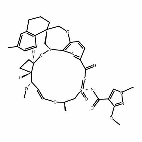 COc1nn(C)cc1C(=O)N[S@@]1(=O)=NC(=O)c2ccc3c(n2)N(C[C@@H]2CC[C@H]2[C@@H](OC)/C=C/C[C@H](C)C1)C[C@@]1(CCCc2cc(C)ccc21)CO3